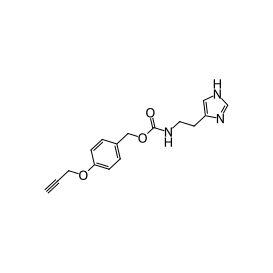 C#CCOc1ccc(COC(=O)NCCc2c[nH]cn2)cc1